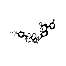 CC(OC(=O)c1ccc([N+](=O)[O-])cc1)(c1cn(Cc2ccc3c(-c4cccc(F)c4)cc(=O)oc3c2)nn1)C(F)(F)F